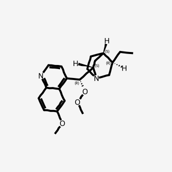 CC[C@H]1CN2CC[C@H]1C[C@H]2[C@H](OOC)c1ccnc2ccc(OC)cc12